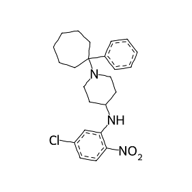 O=[N+]([O-])c1ccc(Cl)cc1NC1CCN(C2(c3ccccc3)CCCCCC2)CC1